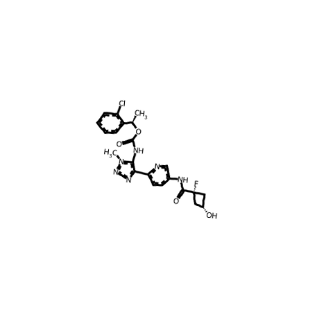 C[C@@H](OC(=O)Nc1c(-c2ccc(NC(=O)[C@]3(F)C[C@@H](O)C3)cn2)nnn1C)c1ccccc1Cl